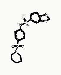 O=S(=O)(Nc1ccc(S(=O)(=O)N2CCCCC2)cc1)c1ccc2ncsc2c1